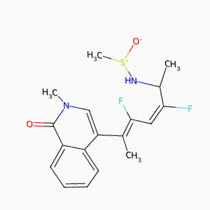 C/C(=C(F)\C=C(\F)C(C)N[S+](C)[O-])c1cn(C)c(=O)c2ccccc12